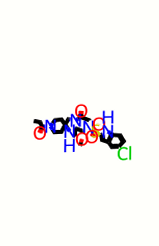 CCC(=O)N1CCC2(CC1)CN1C(=O)CN(S(=O)(=O)c3cc4cc(Cl)ccc4[nH]3)CC1(COC)N2